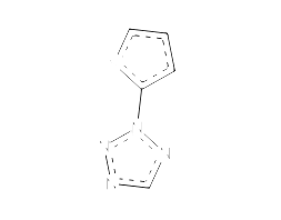 [c]1ccsc1-n1ncnn1